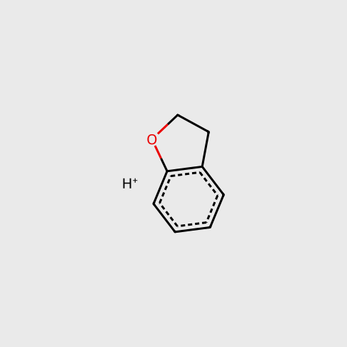 [H+].c1ccc2c(c1)CCO2